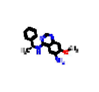 COc1cc2ncnc(N[C@H](C)c3ccccc3)c2cc1N